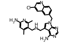 Cc1cc(N)nc(C)c1CNCc1cn(Cc2ccc3ncc(Cl)cc3c2)c2ncnc(N)c12